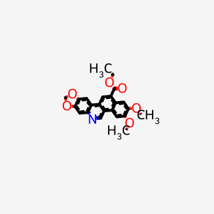 CCOC(=O)c1cc2c3cc4c(cc3ncc2c2cc(OC)c(OC)cc12)OCO4